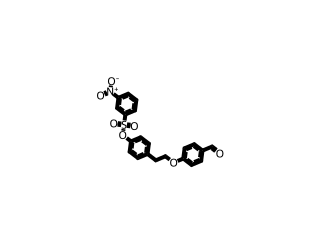 O=Cc1ccc(OCCc2ccc(OS(=O)(=O)c3cccc([N+](=O)[O-])c3)cc2)cc1